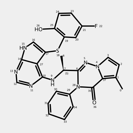 Cc1ccn2nc([C@H](C)Nc3ncnc4[nH]cc(Sc5cc(F)ccc5O)c34)n(-c3ccccc3)c(=O)c12